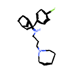 Fc1ccc(C2(NCCCN3CCCCC3)CC3CCC2C3)cc1